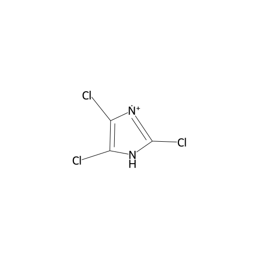 ClC1=[N+]C(Cl)=C(Cl)N1